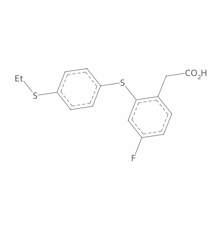 CCSc1ccc(Sc2cc(F)ccc2CC(=O)O)cc1